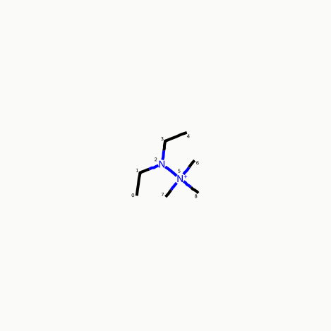 CCN(CC)[N+](C)(C)C